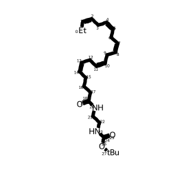 CC/C=C\C/C=C\C/C=C\C/C=C\C/C=C\CCCC(=O)NCCNC(=O)OC(C)(C)C